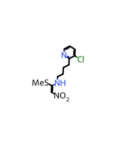 CS/C(=C/[N+](=O)[O-])NCCCCc1ncccc1Cl